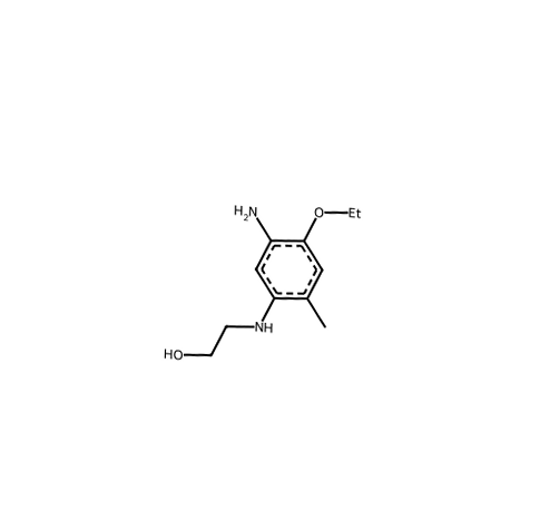 CCOc1cc(C)c(NCCO)cc1N